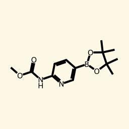 COC(=O)Nc1ccc(B2OC(C)(C)C(C)(C)O2)cn1